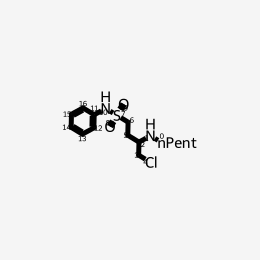 CCCCCNC(CCl)CCS(=O)(=O)Nc1ccccc1